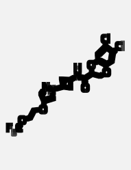 O=C(NC12CC(n3cc(OCCOC(F)(F)F)cn3)(C1)C2)C1COc2cc(Cl)c(Cl)cc2O1